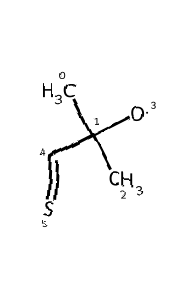 CC(C)([O])C=S